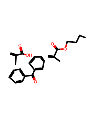 C=C(C)C(=O)O.C=C(C)C(=O)OCCCC.O=C(c1ccccc1)c1ccccc1